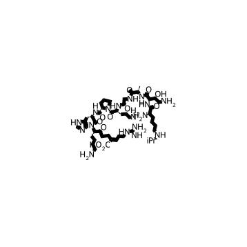 CC(C)NCCCC[C@H](N)C(=O)N[C@H](C(=O)N[C@@H](C)C(=O)NCC(=O)N[C@H](CCCN)C(=O)N1CCC[C@H]1C(=O)N[C@@H](Cc1cnc[nH]1)C(=O)N[C@@H](CCCCN)C(=O)CC/C(=C\CCNC(=N)N)C(=O)O)[C@@H](O)CN